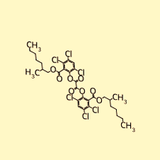 CCCCCC(C)COC(=O)c1c(Cl)c(Cl)cc(Cl)c1OC(=O)C(=O)Oc1c(Cl)cc(Cl)c(Cl)c1C(=O)OCC(C)CCCCC